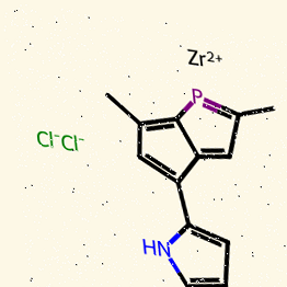 CC1=PC2=C(C)C=C(c3ccc[nH]3)C2=C1.[Cl-].[Cl-].[Zr+2]